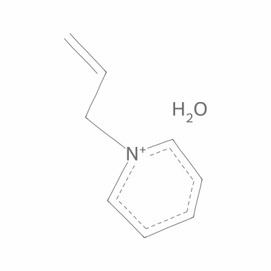 C=CC[n+]1ccccc1.O